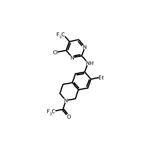 CCc1cc2c(cc1Nc1ncc(C(F)(F)F)c(Cl)n1)CCN(C(=O)C(F)(F)F)C2